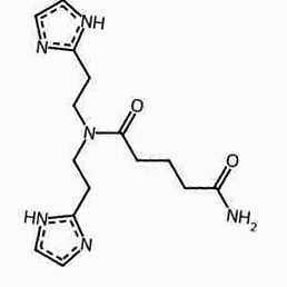 NC(=O)CCCC(=O)N(CCc1ncc[nH]1)CCc1ncc[nH]1